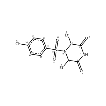 CCC1C(=O)NC(=O)C(CC)N1S(=O)(=O)c1ccc(Cl)cc1